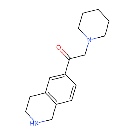 O=C(CN1CCCCC1)c1ccc2c(c1)CCNC2